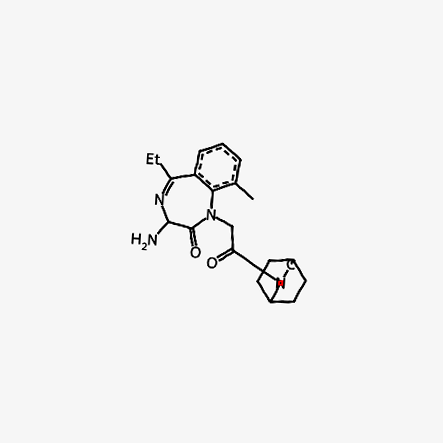 CCC1=NC(N)C(=O)N(CC(=O)N2CC3CCC(CC3)C2)c2c(C)cccc21